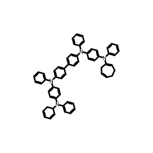 C1=CCC(N(c2ccccc2)c2ccc(N(c3ccccc3)c3ccc(-c4ccc(N(c5ccccc5)c5ccc(N(C6=CCCC=CC6)c6ccccc6)cc5)cc4)cc3)cc2)C=C1